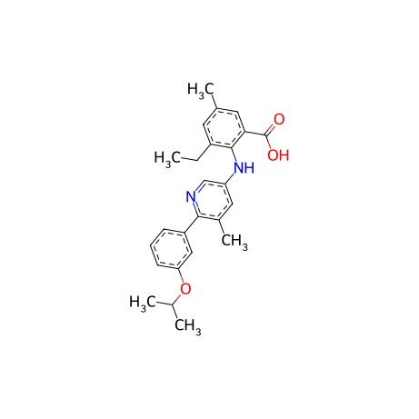 CCc1cc(C)cc(C(=O)O)c1Nc1cnc(-c2cccc(OC(C)C)c2)c(C)c1